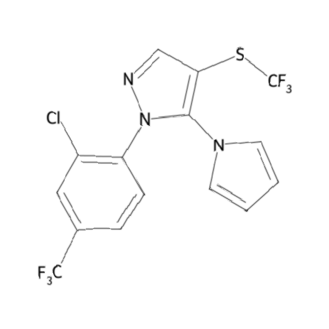 FC(F)(F)Sc1cnn(-c2ccc(C(F)(F)F)cc2Cl)c1-n1cccc1